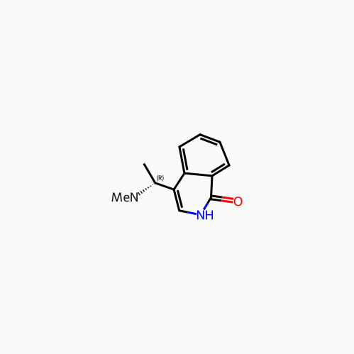 CN[C@H](C)c1c[nH]c(=O)c2ccccc12